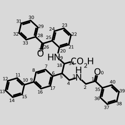 O=C(CNCC(c1ccc(-c2ccccc2)cc1)C(Nc1ccccc1C(=O)c1ccccc1)C(=O)O)c1ccccc1